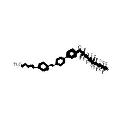 CCCCCC[C@H]1CC[C@H](CC[C@H]2CC[C@H](c3ccc(C(=O)C(F)(F)C(F)(F)C(F)(F)C(F)(F)C(F)(F)C(F)(F)C(F)(F)C(F)(F)F)cc3)CC2)CC1